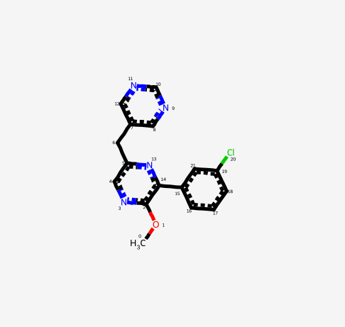 COc1ncc(Cc2cncnc2)nc1-c1cccc(Cl)c1